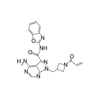 C=CC(=O)N1CC(Cn2nc(C(=O)Nc3nc4ccccc4o3)c3c(N)ncnc32)C1